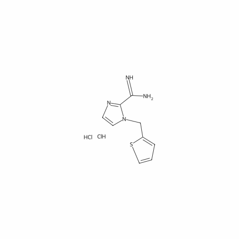 Cl.Cl.N=C(N)c1nccn1Cc1cccs1